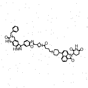 O=C1CCC(N2C(=O)c3cccc4c(C5CCN(CCCC(=O)N6CC(c7nc8ccc(-c9n[nH]c%10cc%11c(cc9%10)CN(Cc9ccccc9)C(=O)N%11)cc8o7)C6)CC5)ccc2c34)C(=O)N1